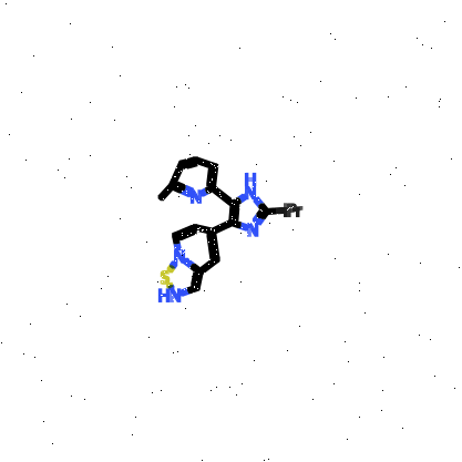 Cc1cccc(-c2[nH]c(C(C)C)nc2C2=CC3=CNSN3C=C2)n1